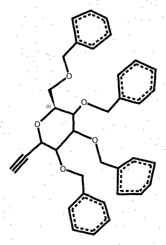 C#CC1O[C@@H](COCc2ccccc2)C(OCc2ccccc2)C(OCc2ccccc2)C1OCc1ccccc1